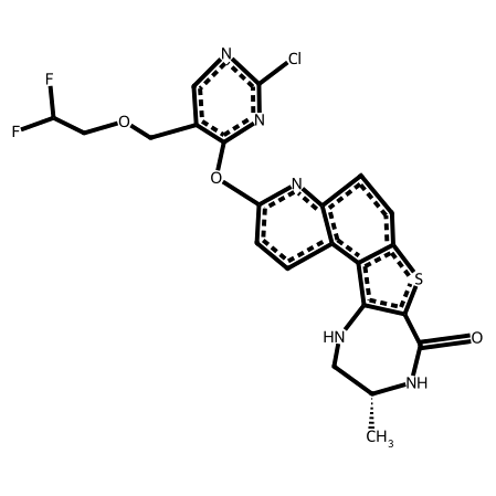 C[C@@H]1CNc2c(sc3ccc4nc(Oc5nc(Cl)ncc5COCC(F)F)ccc4c23)C(=O)N1